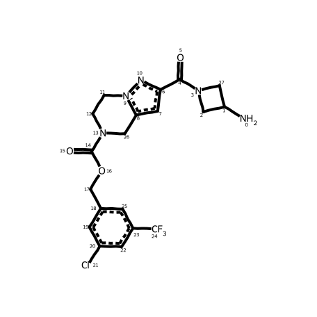 NC1CN(C(=O)c2cc3n(n2)CCN(C(=O)OCc2cc(Cl)cc(C(F)(F)F)c2)C3)C1